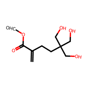 C=C(CCC(CO)(CO)CO)C(=O)OC=O